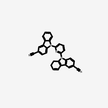 N#Cc1ccc2c(c1)c1c(n2-c2cccc(-n3c4ccccc4c4cc(C#N)ccc43)n2)CCC=C1